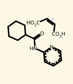 O=C(Nc1ccccn1)C1CCCCC1.O=C(O)/C=C\C(=O)O